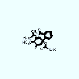 CCCCCCCCCCC(=O)OC1(c2ccccc2C(=O)OC(C)CCCCCC)C=CC(C(=O)O)C(F)=C1